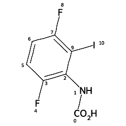 O=C(O)Nc1c(F)ccc(F)c1I